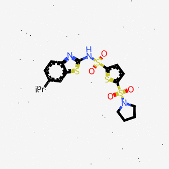 CC(C)c1ccc2nc(NS(=O)(=O)c3ccc(S(=O)(=O)N4CCCC4)s3)sc2c1